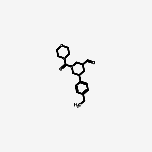 CCc1ccc(C2CC(C=O)CN(C(=O)N3CCOCC3)C2)cc1